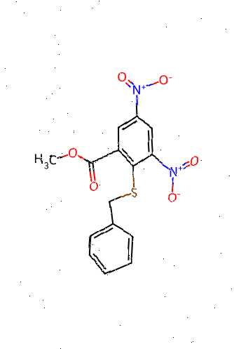 COC(=O)c1cc([N+](=O)[O-])cc([N+](=O)[O-])c1SCc1ccccc1